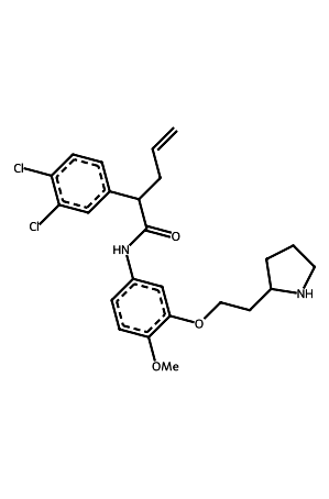 C=CCC(C(=O)Nc1ccc(OC)c(OCCC2CCCN2)c1)c1ccc(Cl)c(Cl)c1